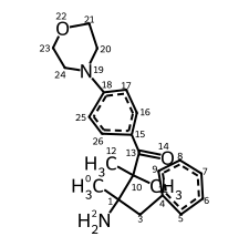 CC(N)(Cc1ccccc1)C(C)(C)C(=O)c1ccc(N2CCOCC2)cc1